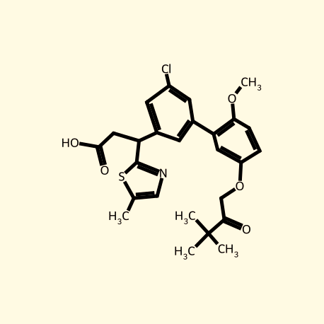 COc1ccc(OCC(=O)C(C)(C)C)cc1-c1cc(Cl)cc(C(CC(=O)O)c2ncc(C)s2)c1